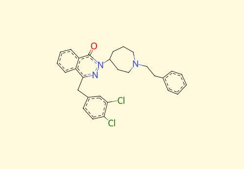 O=c1c2ccccc2c(Cc2ccc(Cl)c(Cl)c2)nn1C1CCCN(CCc2ccccc2)CC1